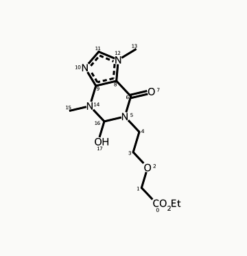 CCOC(=O)COCCN1C(=O)c2c(ncn2C)N(C)C1O